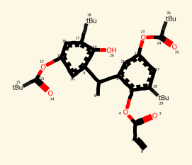 C=CC(=O)Oc1c(C(C)c2cc(OC(=O)C(C)(C)C)cc(C(C)(C)C)c2O)cc(OC(=O)C(C)(C)C)cc1C(C)(C)C